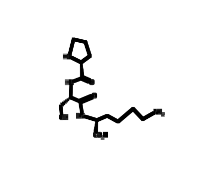 NCCCC[C@H](NC(=O)[C@H](CO)NC(=O)[C@@H]1CCCN1)C(=O)O